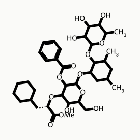 COC(=O)[C@H](CC1CCCCC1)OC1C(O)C(CO)OC(OC2CC(C)CC(C)C2OC2OC(C)C(O)C(O)C2O)C1OC(=O)c1ccccc1